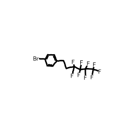 FC(F)(F)C(F)(F)C(F)(F)C(F)(F)CCc1ccc(Br)cc1